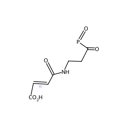 O=PC(=O)CCNC(=O)/C=C/C(=O)O